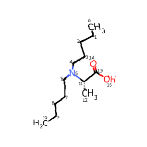 CCCCCN(CCCCC)[C@@H](C)C(=O)O